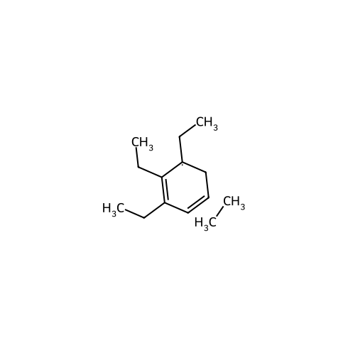 CC.CC[C]1CC=CC(CC)=C1CC